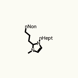 CCCCCCCCCCCCC1N(C)C=CN1CCCCCCC